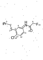 CC(C)CSc1cc(NC(=O)CF)ccc1Cl